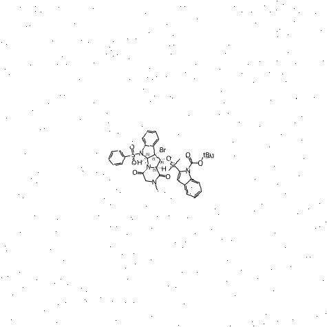 CN1CC(=O)N2[C@H](C1=O)[C@@H](O[Si](C)(C)c1cc3ccccc3n1C(=O)OC(C)(C)C)[C@]1(Br)c3ccccc3N(S(=O)(=O)c3ccccc3)[C@H]21